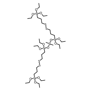 CCO[Si](CCCSSCCC[Si](OCC)(OCC)O[Si](C)(C)O[Si](CCCSSCCC[Si](OCC)(OCC)OCC)(OCC)OCC)(OCC)OCC